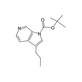 CCCc1cn(C(=O)OC(C)(C)C)c2cnccc12